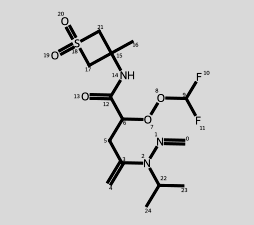 C=NN(C(=C)CC(OOC(F)F)C(=O)NC1(C)CS(=O)(=O)C1)C(C)C